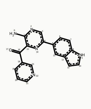 Nc1ncc(-c2ccc3[nH]ccc3c2)nc1C(=O)c1cccnc1